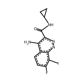 Nc1c(C(=O)NC2CC2)nnc2c(I)c(F)ccc12